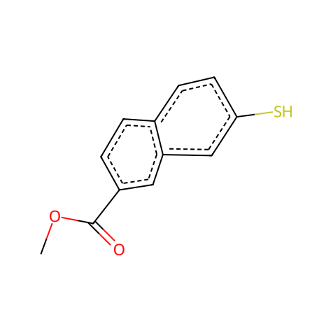 COC(=O)c1ccc2ccc(S)cc2c1